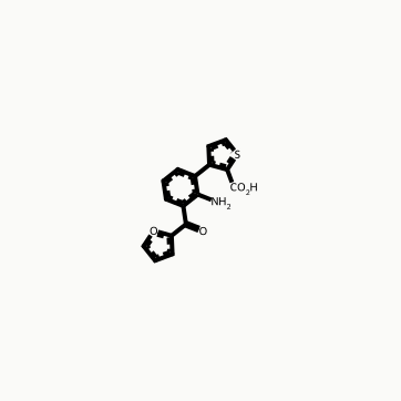 Nc1c(C(=O)c2ccco2)cccc1-c1ccsc1C(=O)O